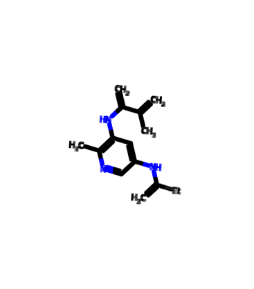 C=C(CC)Nc1cnc(C)c(NC(=C)C(=C)C)c1